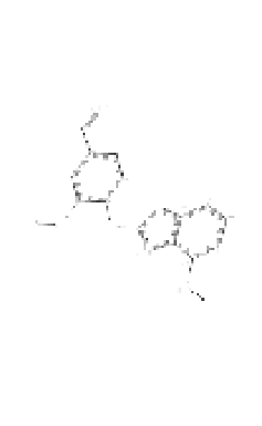 COc1cc(C=O)ccc1Oc1nc2c(SC)cccc2s1